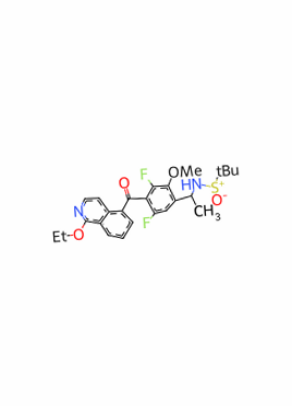 CCOc1nccc2c(C(=O)c3c(F)cc(C(C)N[S+]([O-])C(C)(C)C)c(OC)c3F)cccc12